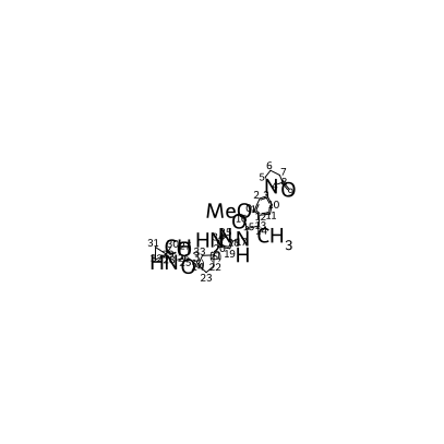 COc1cc(N2CCCC2=O)ccc1C(C)C(=O)Nc1cc([C@H]2CC[C@H](OC(=O)NC3(C)CC3)C2)[nH]n1